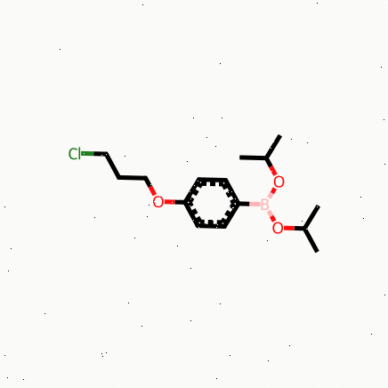 CC(C)OB(OC(C)C)c1ccc(OCCCCl)cc1